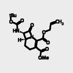 C=CCOC(=O)C1=C(C(=O)OC)CC[C@H]2[C@H](NC(=O)OC(C)(C)C)C(=O)N12